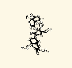 Cn1c(=O)n(C)c2cc(-n3cc(C#N)c(=O)n(C4CCc5c4cccc5C(F)(F)F)c3=O)ccc21